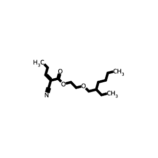 CCC=C(C#N)C(=O)OCCOCC(CC)CCCC